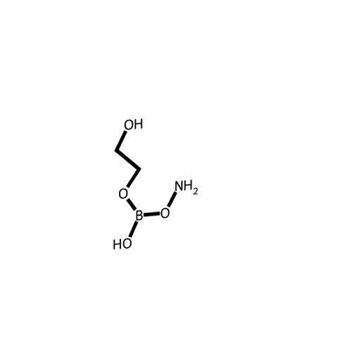 NOB(O)OCCO